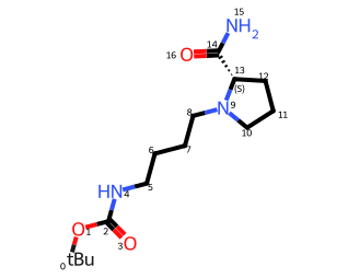 CC(C)(C)OC(=O)NCCCCN1CCC[C@H]1C(N)=O